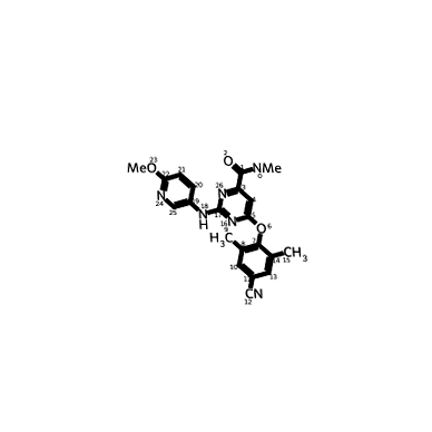 CNC(=O)c1cc(Oc2c(C)cc(C#N)cc2C)nc(Nc2ccc(OC)nc2)n1